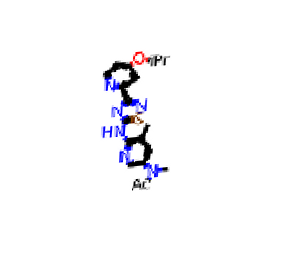 CC(=O)N(C)c1cnc(Nc2nc(-c3cc(OC(C)C)ccn3)ns2)c(C)c1